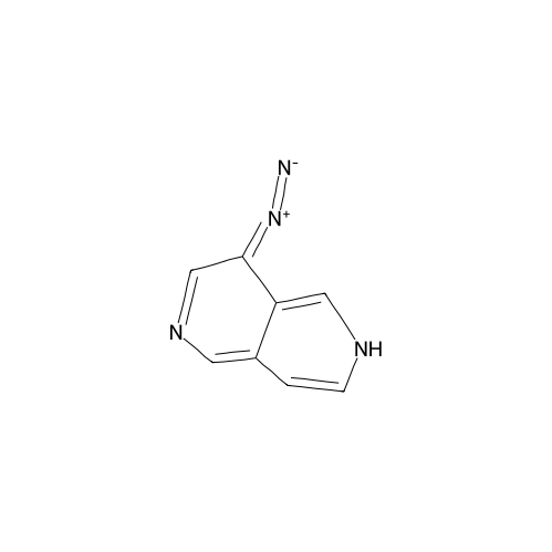 [N-]=[N+]=c1cncc2cc[nH]cc1-2